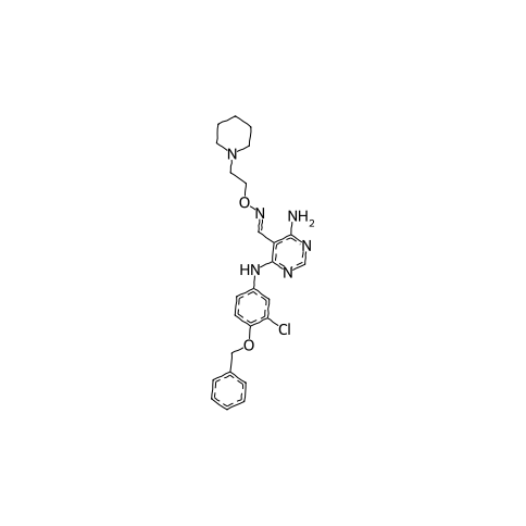 Nc1ncnc(Nc2ccc(OCc3ccccc3)c(Cl)c2)c1C=NOCCN1CCCCC1